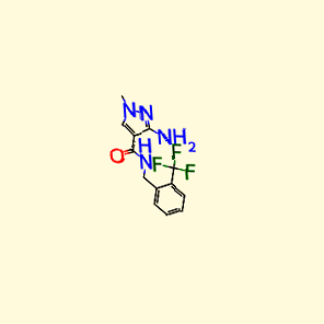 Cn1cc(C(=O)NCc2ccccc2C(F)(F)F)c(N)n1